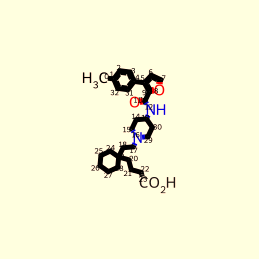 Cc1ccc(-c2ccoc2C(=O)NC2CCN(CCC3(CCCC(=O)O)CCCCC3)CC2)cc1